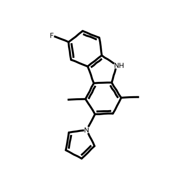 Cc1cc(-n2cccc2)c(C)c2c1[nH]c1ccc(F)cc12